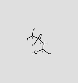 CC([O])NC(C)(C)C(C)C